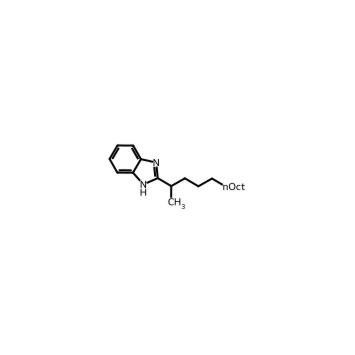 CCCCCCCCCCCC(C)c1nc2ccccc2[nH]1